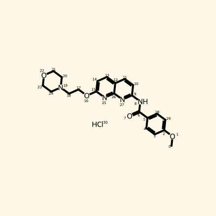 COc1ccc(C(=O)Nc2ccc3ccc(OCCN4CCOCC4)nc3n2)cc1.Cl